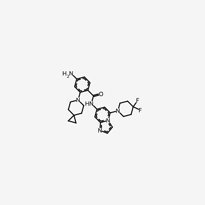 Nc1ccc(C(=O)Nc2cc(N3CCC(F)(F)CC3)n3ccnc3c2)c(N2CCC3(CC2)CC3)c1